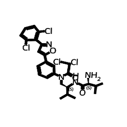 CC(C)[C@H](N)C(=O)N[C@H](CN(C(=O)C(Cl)Cl)c1cccc(-c2cc(-c3c(Cl)cccc3Cl)no2)c1)C(C)C